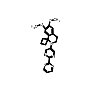 COc1cc2c(cc1OC)C1(CCC1)N(c1cnc(-c3ncccn3)nc1)CC2